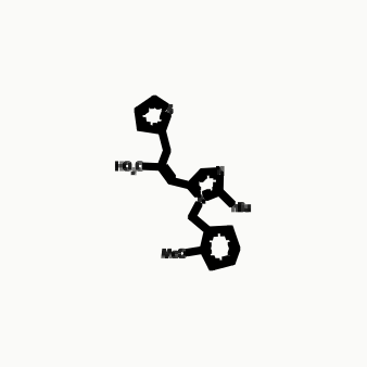 CCCCc1ncc(C=C(Cc2cccs2)C(=O)O)n1Cc1ccccc1OC